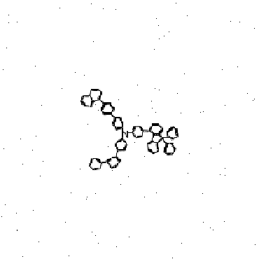 c1ccc(-c2cccc(-c3ccc(N(c4ccc(-c5ccc(-c6cccc7ccccc67)cc5)cc4)c4ccc(-c5cccc6c5-c5ccccc5C6(c5ccccc5)c5ccccc5)cc4)cc3)c2)cc1